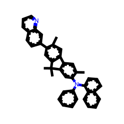 Cc1cc2c(cc1-c1ccc3cccnc3c1)C(C)(C)c1cc(N(c3ccccc3)c3cccc4ccccc34)c(C)cc1-2